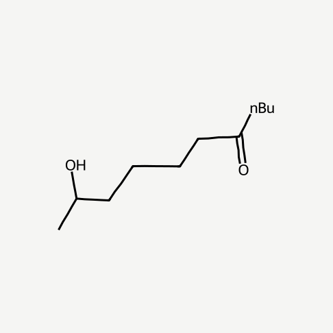 CCCCC(=O)CCCCC(C)O